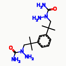 CC(C)(CN(N)C(N)=O)c1cccc(C(C)(C)CN(N)C(N)=O)c1